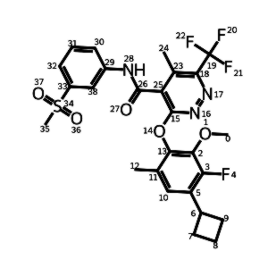 COc1c(F)c(C2CCC2)cc(C)c1Oc1nnc(C(F)(F)F)c(C)c1C(=O)Nc1cccc(S(C)(=O)=O)c1